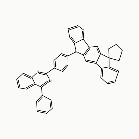 c1ccc(-c2nc(-c3ccc(-n4c5ccccc5c5cc6c(cc54)-c4ccccc4C64CCCC4)cc3)nc3ccccc23)cc1